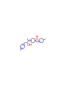 CC1CCN(CC2(O)CCN(C(C)C(O)CN3CCN(C)CC3)CC2)CC1